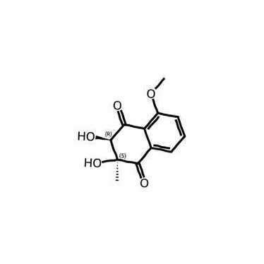 COc1cccc2c1C(=O)[C@H](O)[C@](C)(O)C2=O